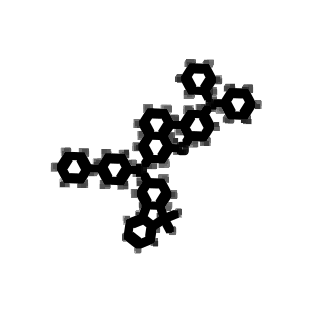 CC1(C)c2ccccc2-c2cc(N(c3ccc(-c4ccccc4)cc3)c3cc4c5c(cccc5c3)-c3cc(N(c5ccccc5)c5ccccc5)ccc3O4)ccc21